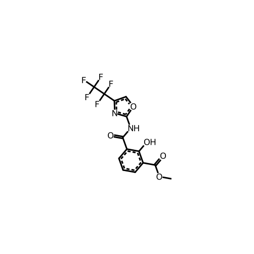 COC(=O)c1cccc(C(=O)Nc2nc(C(F)(F)C(F)(F)F)co2)c1O